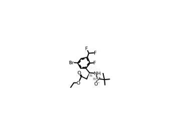 CCOC(=O)C[C@H](N[S@+]([O-])C(C)(C)C)c1cc(Br)cc(C(F)F)c1F